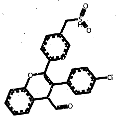 O=CC1C(c2ccc(Cl)cc2)=C(c2ccc(C[SH](=O)=O)cc2)Oc2ccccc21